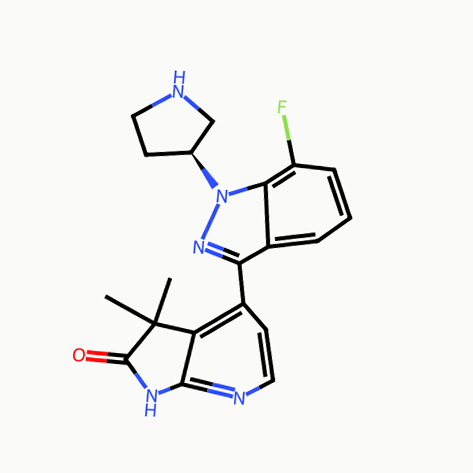 CC1(C)C(=O)Nc2nccc(-c3nn([C@H]4CCNC4)c4c(F)cccc34)c21